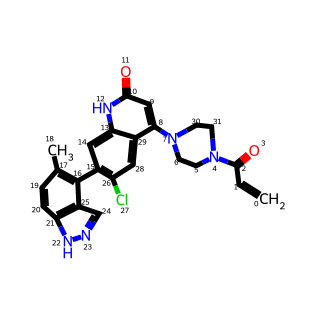 C=CC(=O)N1CCN(c2cc(=O)[nH]c3cc(-c4c(C)ccc5[nH]ncc45)c(Cl)cc23)CC1